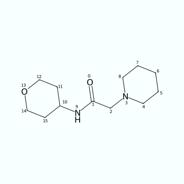 O=C(CN1CCCCC1)NC1CCOCC1